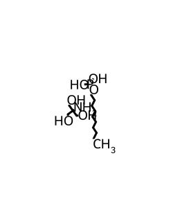 CCCCCCCCCCOP(O)O.NC(CO)(CO)CO